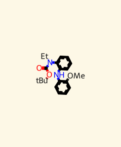 CCN(C(=O)OC(C)(C)C)c1ccccc1Nc1ccccc1OC